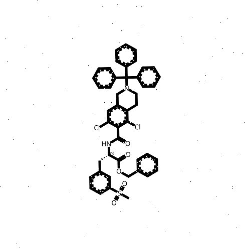 CS(=O)(=O)c1cccc(C[C@H](NC(=O)c2c(Cl)cc3c(c2Cl)CCN(C(c2ccccc2)(c2ccccc2)c2ccccc2)C3)C(=O)OCc2ccccc2)c1